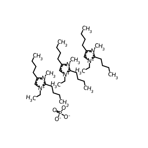 CCCCc1c[n+](CC)c(CCCC)n1C.CCCCc1c[n+](CC)c(CCCC)n1C.CCCCc1c[n+](CC)c(CCCC)n1C.O=P([O-])([O-])[O-]